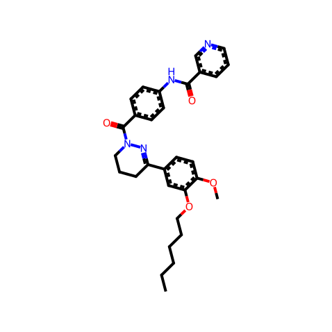 CCCCCCOc1cc(C2=NN(C(=O)c3ccc(NC(=O)c4cccnc4)cc3)CCC2)ccc1OC